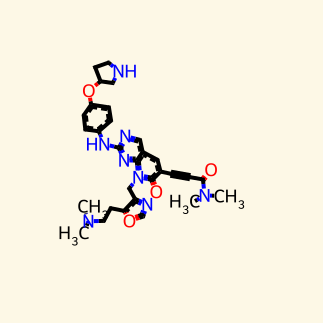 CN(C)CCc1ocnc1Cn1c(=O)c(C#CC(=O)N(C)C)cc2cnc(Nc3ccc(OC4CCNC4)cc3)nc21